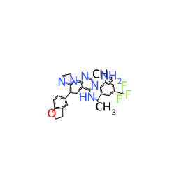 Cc1nc(N[C@H](C)c2cc(N)cc(C(F)(F)F)c2)c2cc(-c3ccc4c(c3)CCO4)c3nccn3c2n1